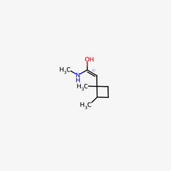 CN/C(O)=C\C1(C)CCC1C